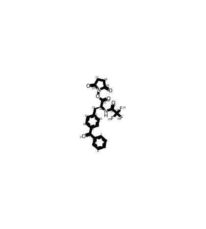 O=C(c1ccccc1)c1ccc(C[C@H](NC(=O)C(F)(F)F)C(=O)ON2C(=O)CCC2=O)cc1